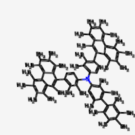 Bc1cc(N(c2ccc(-c3c(B)c4c(B)c(B)c(B)c(B)c4c4c(B)c(B)c(B)c(B)c34)c(B)c2B)c2ccc(-c3c(B)c4c(B)c(B)c(B)c(B)c4c4c(B)c(B)c(B)c(B)c34)c(B)c2B)c(B)c(B)c1-c1c(B)c(B)c(B)c(B)c1B